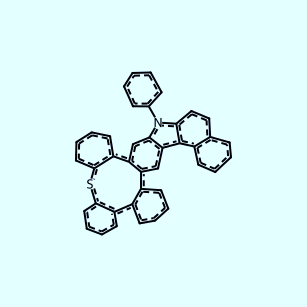 c1ccc(-n2c3cc4c5ccccc5sc5ccccc5c5ccccc5c4cc3c3c4ccccc4ccc32)cc1